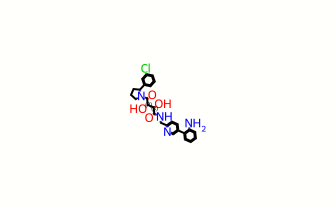 Nc1ccccc1-c1ccc(CNC(=O)[C@H](O)[C@@H](O)C(=O)N2CCCC2c2cccc(Cl)c2)nc1